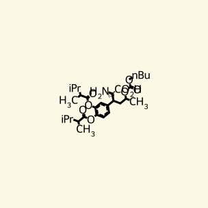 CCCCOC(=O)OC(C)CC(c1ccc(OC(=O)C(C)C(C)C)c(OC(=O)C(C)C(C)C)c1)[C@H](N)C(=O)O